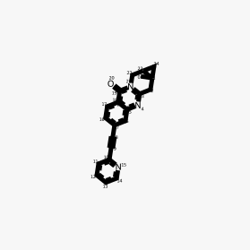 CC12Cc3nc4cc(C#Cc5ccccn5)ccc4c(=O)n3CC1C2